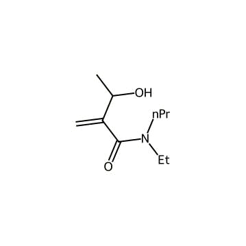 C=C(C(=O)N(CC)CCC)C(C)O